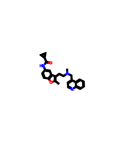 Cc1oc2ccc(NC(=O)C3CC3)cc2c1CCN(C)Cc1ccnc2ccccc12